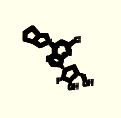 OC[C@H]1C[C@@H](c2csc3c(N4CC5CCCC5C4)cc(Cl)nc23)[C@H](F)[C@@H]1O